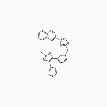 Cc1nc(-c2ccccc2)c(-c2cccc(Cc3nc(-c4ccc5ccccc5c4)cs3)c2)s1